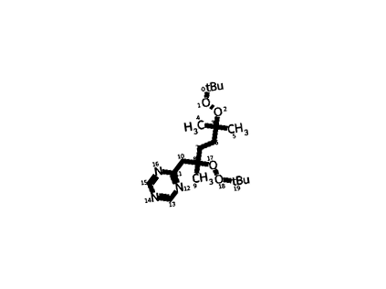 CC(C)(C)OOC(C)(C)CCC(C)(Cc1ncncn1)OOC(C)(C)C